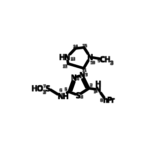 CCCNc1nnc(NS(=O)(=O)O)s1.CN1CCNCC1